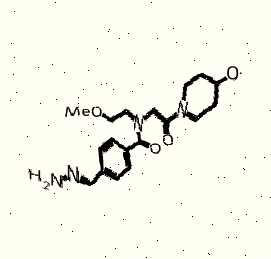 COCCN(CC(=O)N1CCC([O])CC1)C(=O)c1ccc(C=NN)cc1